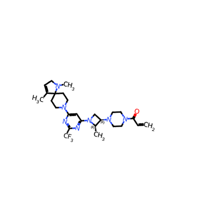 C=CC(=O)N1CCN([C@@H]2CN(c3cc(N4CCC5(CC4)C(C)=CCN5C)nc(C(F)(F)F)n3)[C@@H]2C)CC1